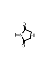 I.O=C1CCC(=O)N1I